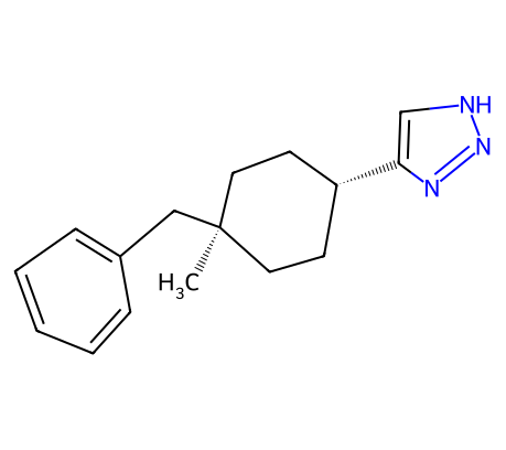 C[C@]1(Cc2ccccc2)CC[C@H](c2c[nH]nn2)CC1